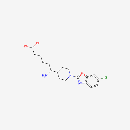 NC(CCCCB(O)O)C1CCN(c2nc3ccc(Cl)cc3o2)CC1